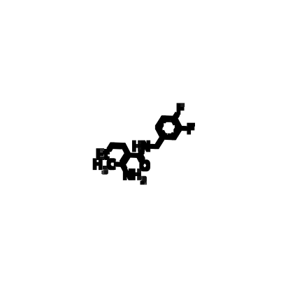 CC/C=C\C(C(=O)NCc1ccc(F)c(F)c1)=C(/C)N